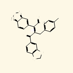 Cc1ccc(C/C(C(=O)c2ccc3c(c2)OCO3)=C(\C(=O)O)c2ccc3nsnc3c2)cc1